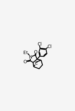 CCN1C(=O)C2C3CCC(CC3)C2(c2ccc(Cl)c(Cl)c2)C1=O